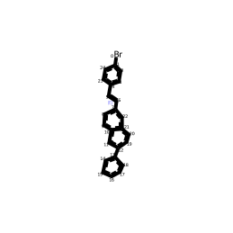 Brc1ccc(/C=C/c2ccc3cc(-c4ccccc4)ccc3c2)cc1